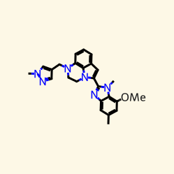 COc1cc(C)cc2nc(-c3cc4cccc5c4n3CCN5Cc3cnn(C)c3)n(C)c12